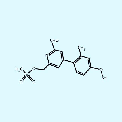 Cc1cc(OS)ccc1-c1cc(C=O)nc(COS(C)(=O)=O)c1